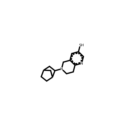 Sc1cnc2c(c1)CN(C1CC3CCC1C3)CC2